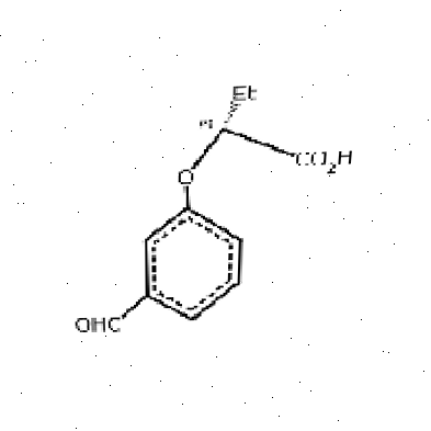 CC[C@@H](Oc1cccc(C=O)c1)C(=O)O